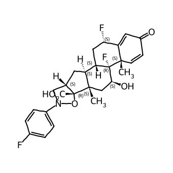 C[C@]12C=CC(=O)C=C1[C@@H](F)C[C@H]1[C@@H]3C[C@H]4CN(c5ccc(F)cc5)O[C@@]4(C(=O)O)[C@@]3(C)C[C@H](O)[C@@]12F